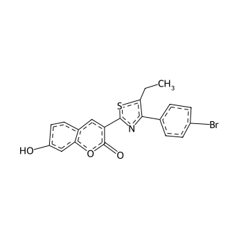 CCc1sc(-c2cc3ccc(O)cc3oc2=O)nc1-c1ccc(Br)cc1